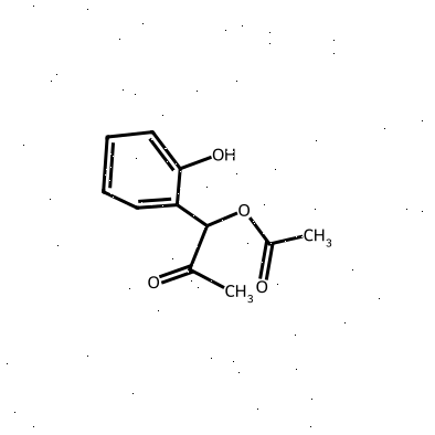 CC(=O)OC(C(C)=O)c1ccccc1O